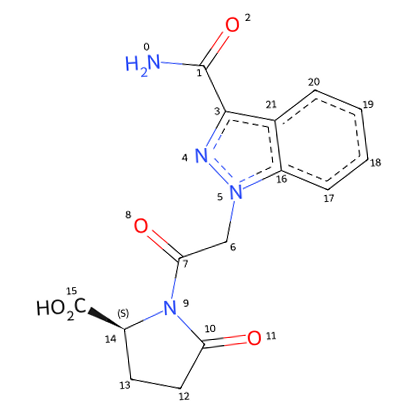 NC(=O)c1nn(CC(=O)N2C(=O)CC[C@H]2C(=O)O)c2ccccc12